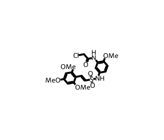 COc1cc(OC)c(/C=C/S(=O)(=O)Nc2ccc(OC)c(NC(=O)CCl)c2)c(OC)c1